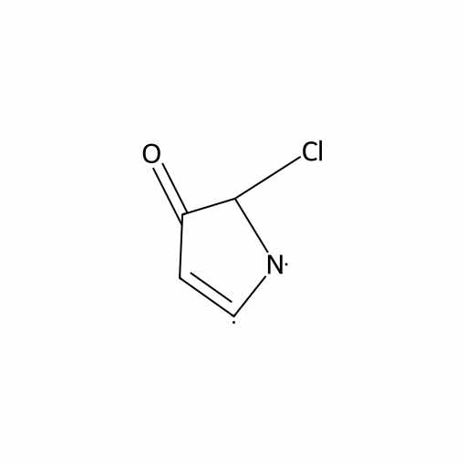 O=C1C=[C][N]C1Cl